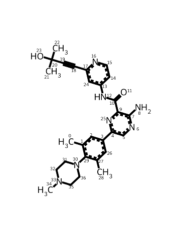 Cc1cc(-c2cnc(N)c(C(=O)Nc3ccnc(C#CC(C)(C)O)c3)n2)cc(C)c1N1CCN(C)CC1